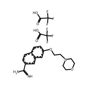 N=C(N)c1ccc2ccc(OCCN3CCOCC3)cc2c1.O=C(O)C(F)(F)F.O=C(O)C(F)(F)F